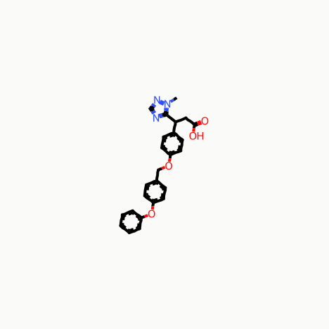 Cn1ncnc1C(CC(=O)O)c1ccc(OCc2ccc(Oc3ccccc3)cc2)cc1